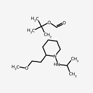 CC(C)(C)OC=O.COCCC1CCCCN1NC(C)C